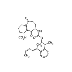 C/C=C\C=C(/C)c1ccccc1C(C)COC(=O)NC1CCC(=O)N2CCC[C@@H](C(=O)O)N2C1=O